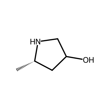 C[C@H]1CC(O)CN1